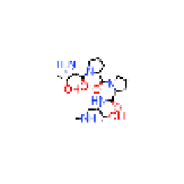 CNC[C@@H](NC(=O)[C@@H]1CCCN1C(=O)[C@@H]1CCCN1C(=O)[C@@H](N)[C@@H](C)O)[C@@H](C)O